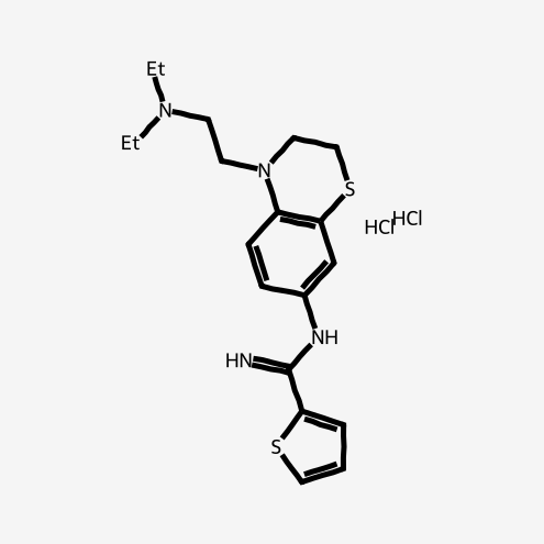 CCN(CC)CCN1CCSc2cc(NC(=N)c3cccs3)ccc21.Cl.Cl